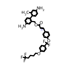 [CH2]c1cc(N)ccc1-c1ccc(N)cc1COC(=O)/C=C/c1ccc(OC(F)(F)c2ccc(OCCCCC(F)(F)F)cc2)cc1